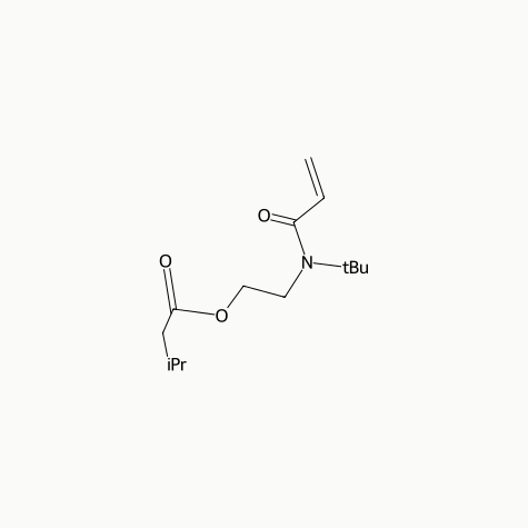 C=CC(=O)N(CCOC(=O)CC(C)C)C(C)(C)C